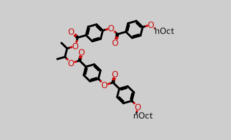 CCCCCCCCOc1ccc(C(=O)Oc2ccc(C(=O)OC(C)C(C)OC(=O)c3ccc(OC(=O)c4ccc(OCCCCCCCC)cc4)cc3)cc2)cc1